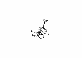 CC1(C)[C@@H]2CC[C@]1(C)C(OC(=O)C1CC1)C2